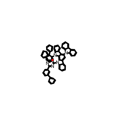 c1ccc(-c2cccc(-c3nc(-c4ccccc4)nc(-n4c5ccccc5c5cc(-n6c7ccccc7c7ccccc76)c6c7ccccc7n(-c7ccccc7-c7ccccc7)c6c54)n3)c2)cc1